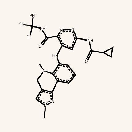 [2H]C([2H])([2H])NC(=O)c1nnc(NC(=O)C2CC2)cc1Nc1cccc2c1N(C)Cc1cn(C)nc1-2